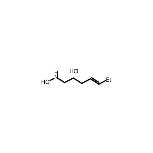 CCC=CCCCNO.Cl